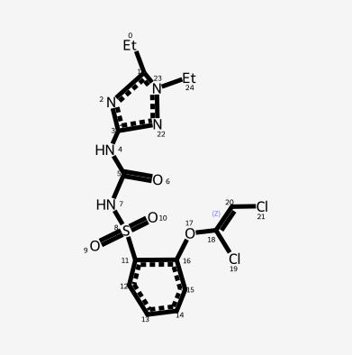 CCc1nc(NC(=O)NS(=O)(=O)c2ccccc2O/C(Cl)=C/Cl)nn1CC